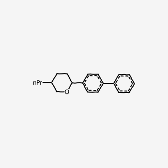 CCCC1CCC(c2ccc(-c3ccccc3)cc2)OC1